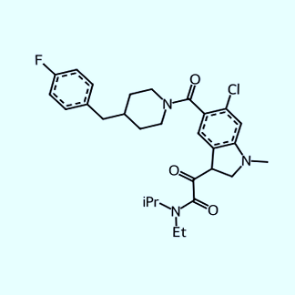 CCN(C(=O)C(=O)C1CN(C)c2cc(Cl)c(C(=O)N3CCC(Cc4ccc(F)cc4)CC3)cc21)C(C)C